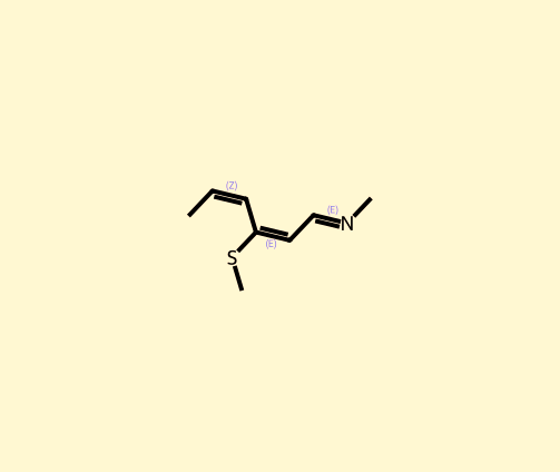 C\C=C/C(=C\C=N\C)SC